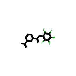 C=C(C)c1cccc(C(=C)Cc2c(F)c(F)c(F)c(F)c2F)c1